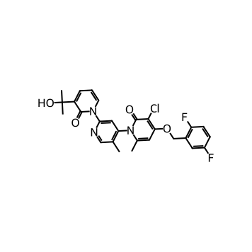 Cc1cnc(-n2cccc(C(C)(C)O)c2=O)cc1-n1c(C)cc(OCc2cc(F)ccc2F)c(Cl)c1=O